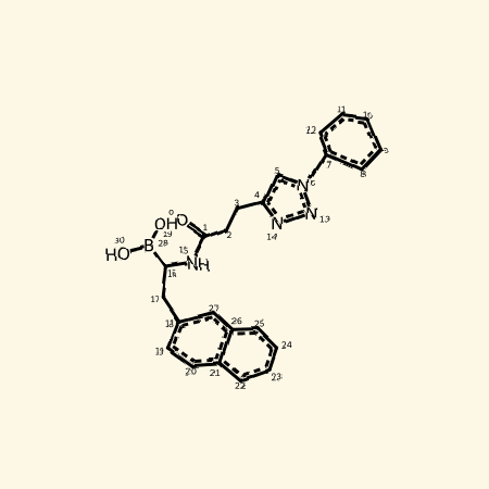 O=C(CCc1cn(-c2ccccc2)nn1)NC(Cc1ccc2ccccc2c1)B(O)O